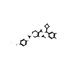 Cc1nc2c(c(=O)n1C(c1ccc(F)c(F)c1)C1CCC1)CCN(C(=O)Oc1ccc(OC(F)(F)F)cc1)C2